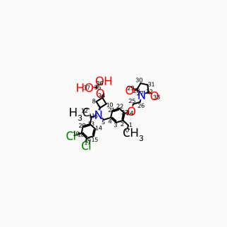 CCc1cc(CN(C2CCC2)C(C)c2ccc(Cl)c(Cl)c2)ccc1OCCN1C(=O)CCC1=O.O=C(O)O